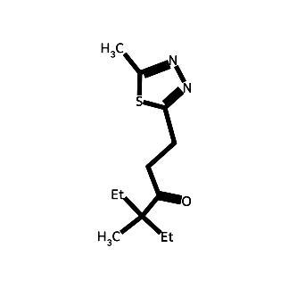 CCC(C)(CC)C(=O)CCc1nnc(C)s1